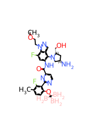 BC(B)(B)Oc1ccc(C)c(F)c1-c1nccc(C(=O)Nc2cc(F)c3c(cnn3CCOC)c2N2C[C@@H](N)C[C@H]2CO)n1